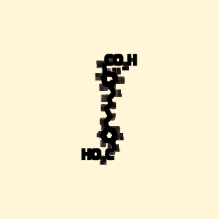 O=C(O)Cc1ccc(CCCCCCc2ccc(CC(=O)O)cc2)cc1